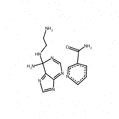 NC(=O)c1cccnc1.NCCNC1(N)N=CN=C2N=CN=C21